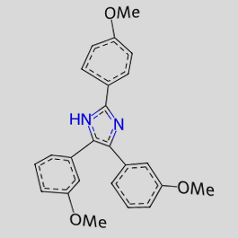 COc1ccc(-c2nc(-c3cccc(OC)c3)c(-c3cccc(OC)c3)[nH]2)cc1